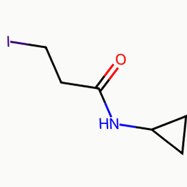 O=C(CCI)NC1CC1